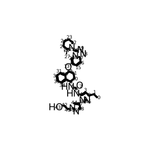 CCc1cc(NC(=O)NC2CC[C@@H](Oc3ccc4nnc(N5CCCC[C@@H]5C)n4c3)c3ccccc32)n(-c2cnn(CCO)c2)n1